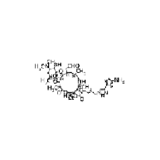 CC[C@H]1OC(=O)[C@H](C)C(=O)[C@H](C)[C@@H](O[C@@H]2O[C@H](C)CC(N(C)C)C2O)[C@@H](CC=O)C[C@@H](C)CN[C@H](C)[C@H]2N(CCCCn3cc(-c4ncc(N)s4)nn3)C(=O)O[C@]12C